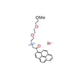 COCCOCCOCC[N+](C)(C)CC(=O)c1ccc2ccc3cccc4ccc1c2c34.[Br-]